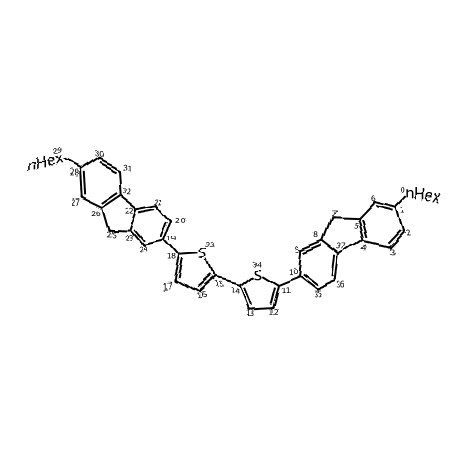 CCCCCCc1ccc2c(c1)Cc1cc(-c3ccc(-c4ccc(-c5ccc6c(c5)Cc5cc(CCCCCC)ccc5-6)s4)s3)ccc1-2